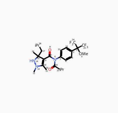 COC(c1ccc(N(C(=O)C2=C(C)N(C)NC2(C)CC(C)C)C(=O)C(C)C)cc1)(C(F)(F)F)C(F)(F)F